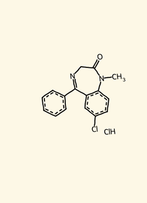 CN1C(=O)CN=C(c2ccccc2)c2cc(Cl)ccc21.Cl